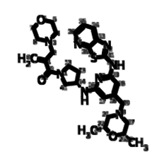 C=C(CN1CCOCC1)C(=O)N1CC[C@H](Nc2cc(CN3C[C@@H](C)O[C@@H](C)C3)cc(Nc3nc4cccnc4s3)n2)C1